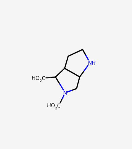 O=C(O)C1C2CCNC2CN1C(=O)O